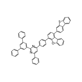 c1ccc(-c2cc(-c3ccccc3)cc(-c3nc(-c4ccccc4)cc(-c4ccc(-c5ccc(-c6ccc7c(c6)sc6ccccc67)c6c5oc5ccccc56)cc4)n3)c2)cc1